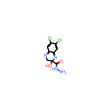 NNC(=O)C1(O)CN=c2cc(Cl)c(Cl)cc2=N1